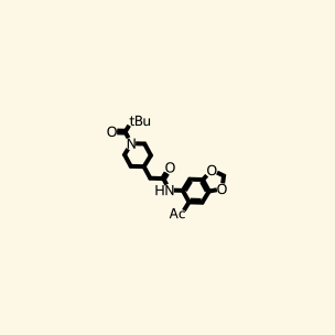 CC(=O)c1cc2c(cc1NC(=O)CC1CCN(C(=O)C(C)(C)C)CC1)OCO2